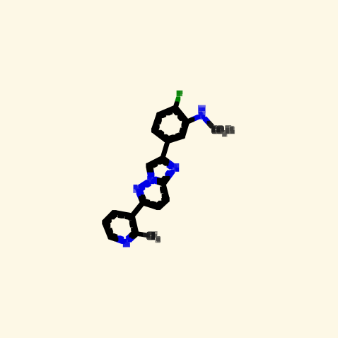 CCOC(=O)Nc1cc(-c2cn3nc(-c4cccnc4C(F)(F)F)ccc3n2)ccc1F